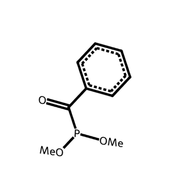 COP(OC)C(=O)c1ccccc1